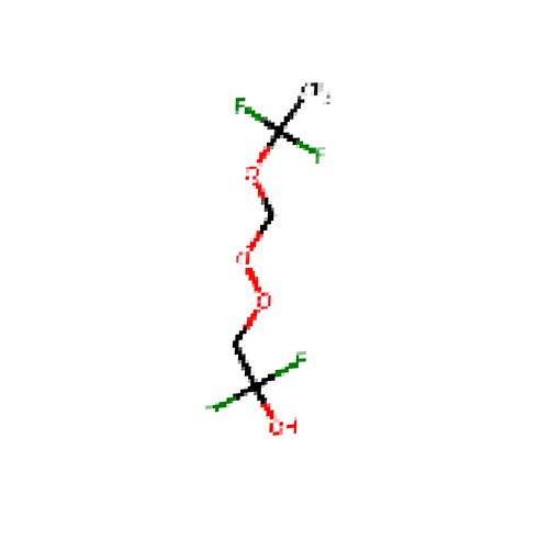 OC(F)(F)COOCOC(F)(F)C(F)(F)F